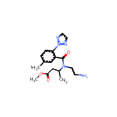 COC(=O)CC(C)N(CCN)C(=O)c1cc(C)ccc1-n1nccn1